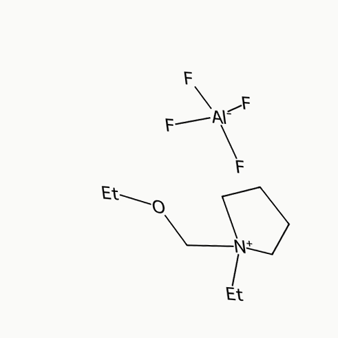 CCOC[N+]1(CC)CCCC1.[F][Al-]([F])([F])[F]